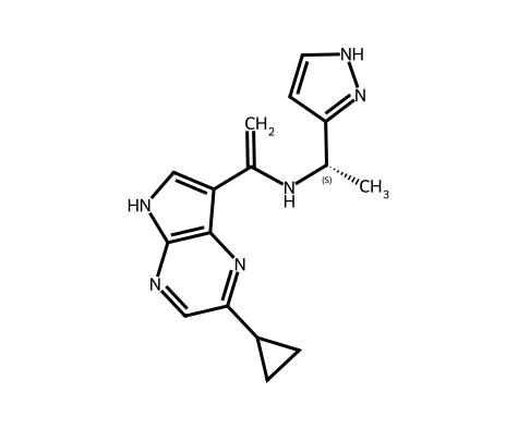 C=C(N[C@@H](C)c1cc[nH]n1)c1c[nH]c2ncc(C3CC3)nc12